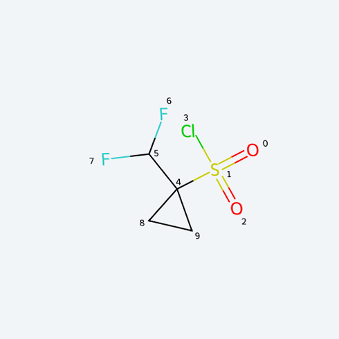 O=S(=O)(Cl)C1(C(F)F)CC1